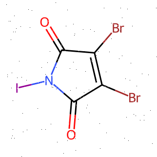 O=C1C(Br)=C(Br)C(=O)N1I